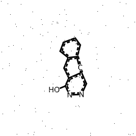 Oc1nncc2cc3ccccc3cc12